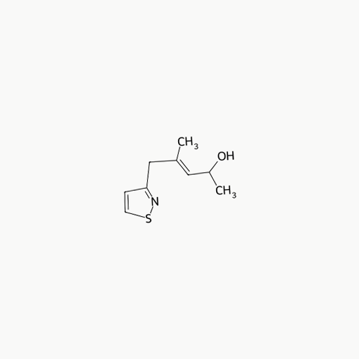 CC(=CC(C)O)Cc1ccsn1